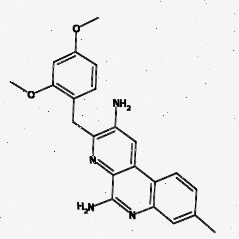 COc1ccc(Cc2nc3c(N)nc4cc(C)ccc4c3cc2N)c(OC)c1